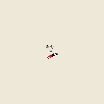 [O]=[Zn].[SnH2].[Zn]